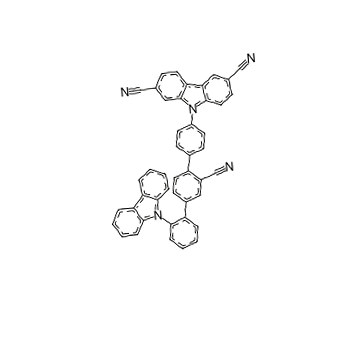 N#Cc1ccc2c(c1)c1ccc(C#N)cc1n2-c1ccc(-c2ccc(-c3ccccc3-n3c4ccccc4c4ccccc43)cc2C#N)cc1